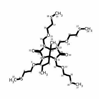 CCCC12N(COCCSC)C(=O)N(COCCSC)C1(C)N(COCCSC)C(=O)N2COCCSC